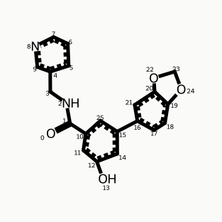 O=C(NCc1cccnc1)c1cc(O)cc(-c2ccc3c(c2)OCO3)c1